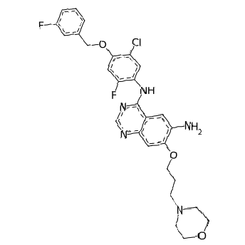 Nc1cc2c(Nc3cc(Cl)c(OCc4cccc(F)c4)cc3F)ncnc2cc1OCCCN1CCOCC1